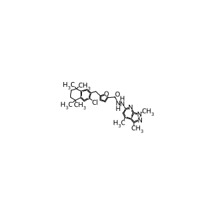 Cc1cc(NNC(=O)c2ccc(Cc3cc4c(cc3Cl)C(C)(C)CCC4(C)C)o2)nc2c1c(C)nn2C